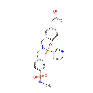 CNS(=O)(=O)c1ccc(CN(Cc2cccc(CC(=O)O)c2)S(=O)(=O)c2cccnc2)cc1